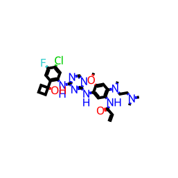 C=CC(=O)Nc1cc(Nc2ncnc(Nc3cc(Cl)c(F)cc3C3(O)CCC3)n2)c(OC)cc1N(C)CCN(C)C